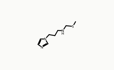 CSCNCCCn1ccnc1